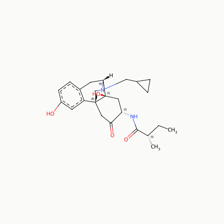 CC[C@H](C)C(=O)N[C@H]1C[C@@]2(O)[C@H]3Cc4ccc(O)cc4[C@@]2(CCN3CC2CC2)CC1=O